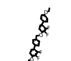 CCOc1ccc(-c2ccc(OCc3ccc(-c4ccc(OCC)c(F)c4F)cc3)c(F)c2F)cc1